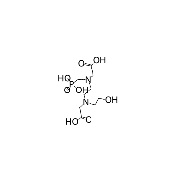 O=C(O)CN(CCO)CCN(CC(=O)O)CP(=O)(O)O